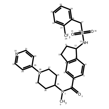 CN(C(=O)c1ccc2c(c1)CCC2NS(=O)(=O)Cc1ccccc1C(F)(F)F)C1CCN(c2ccncc2)CC1